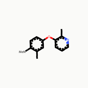 CNc1ccc(Oc2cccnc2C)cc1C